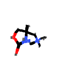 CCC[N+](C)(C)CC1(C)COC(=O)N1